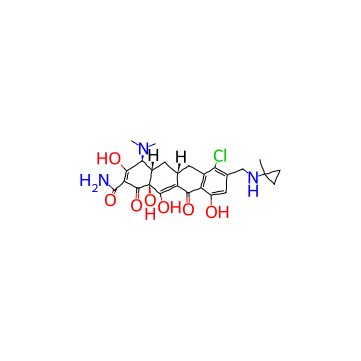 CN(C)[C@@H]1C(O)=C(C(N)=O)C(=O)[C@@]2(O)C(O)=C3C(=O)c4c(O)cc(CNC5(C)CC5)c(Cl)c4C[C@H]3C[C@@H]12